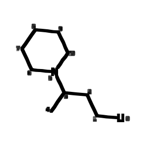 [Li][CH2]CC(C)N1CCCCC1